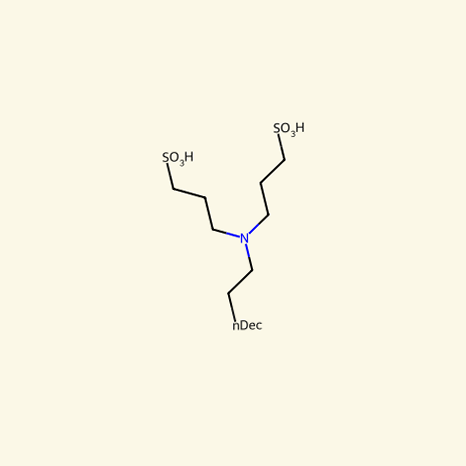 CCCCCCCCCCCCN(CCCS(=O)(=O)O)CCCS(=O)(=O)O